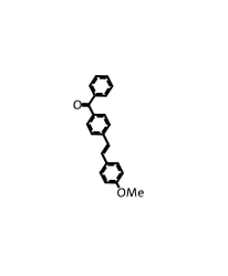 COc1ccc(C=Cc2ccc(C(=O)c3ccccc3)cc2)cc1